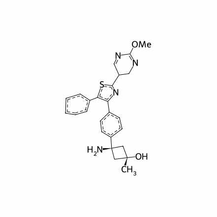 COC1=NCC(c2nc(-c3ccc([C@]4(N)C[C@](C)(O)C4)cc3)c(-c3ccccc3)s2)C=N1